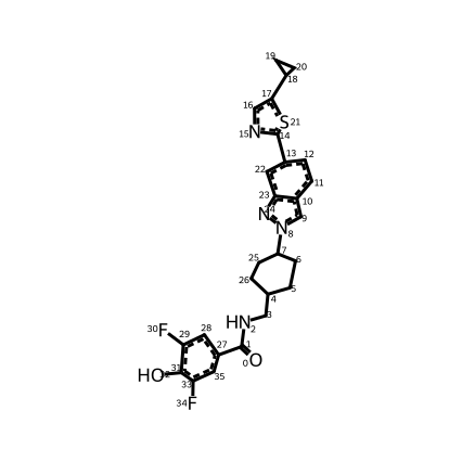 O=C(NCC1CCC(n2cc3ccc(-c4ncc(C5CC5)s4)cc3n2)CC1)c1cc(F)c(O)c(F)c1